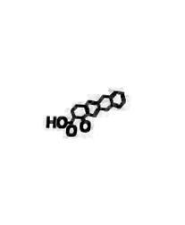 O=C(O)C1CCc2cc3c(cc2C1=O)Cc1ccccc1C3